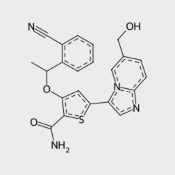 CC(Oc1cc(-c2cnc3ccc(CO)cn23)sc1C(N)=O)c1ccccc1C#N